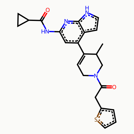 CC1CN(C(=O)Cc2cccs2)CC=C1c1cc(NC(=O)C2CC2)nc2[nH]ccc12